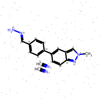 C#N.C#N.Cn1cc2cc(-c3ccc(C=NN)cc3)ccc2n1